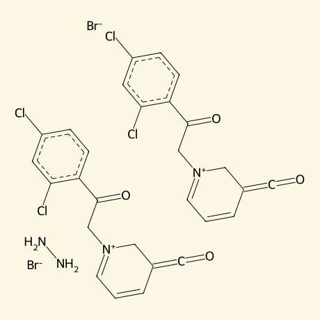 NN.O=C=C1C=CC=[N+](CC(=O)c2ccc(Cl)cc2Cl)C1.O=C=C1C=CC=[N+](CC(=O)c2ccc(Cl)cc2Cl)C1.[Br-].[Br-]